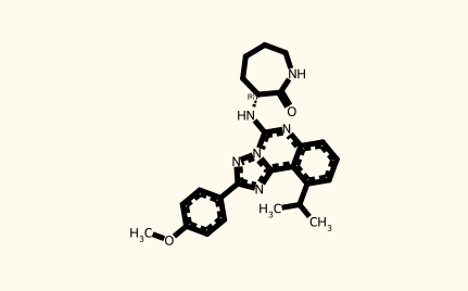 COc1ccc(-c2nc3c4c(C(C)C)cccc4nc(N[C@@H]4CCCCNC4=O)n3n2)cc1